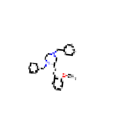 COc1ccccc1CCC1CN(Cc2ccccc2)CCN1Cc1ccccc1